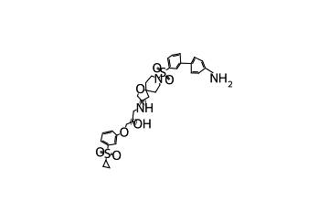 NCc1ccc(-c2cccc(S(=O)(=O)N3CCC4(CC3)C[C@@H](NC[C@H](O)COc3cccc(S(=O)(=O)C5CC5)c3)CO4)c2)cc1